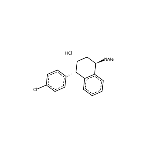 CN[C@@H]1CC[C@@H](c2ccc(Cl)cc2)c2ccccc21.Cl